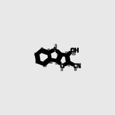 N#Cc1oc2c(sc3ccccc32)c1O